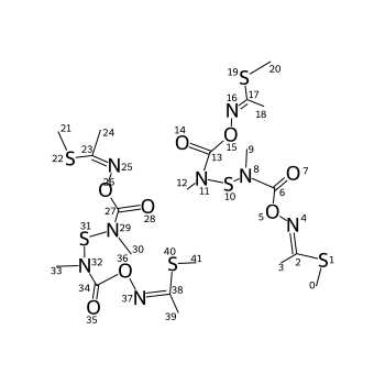 CS/C(C)=N/OC(=O)N(C)SN(C)C(=O)O/N=C(\C)SC.CS/C(C)=N\OC(=O)N(C)SN(C)C(=O)O/N=C(/C)SC